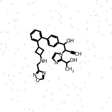 C#CC(C(O)c1ccc(-c2ccccc2C2CC(NCc3ncon3)C2)cc1)n1ccnc1C(C)O